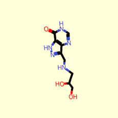 O=c1[nH]cnc2c(CNCC(O)CO)n[nH]c12